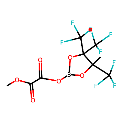 COC(=O)C(=O)OB1OC(C)(C(F)(F)F)C(C(F)(F)F)(C(F)(F)F)O1